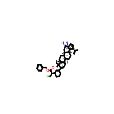 C=C(C)[C@@H]1CC[C@]2(N)CC[C@]3(C)[C@H](CC[C@@H]4[C@@]5(C)CC=C(C6=CC(C(CF)C(=O)OCc7ccccc7)CCC6)C(C)(C)[C@@H]5CC[C@]43C)[C@@H]12